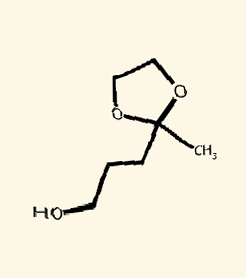 CC1(CCCO)OCCO1